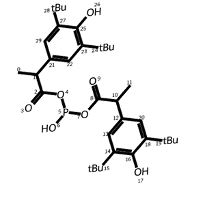 CC(C(=O)OP(O)OC(=O)C(C)c1cc(C(C)(C)C)c(O)c(C(C)(C)C)c1)c1cc(C(C)(C)C)c(O)c(C(C)(C)C)c1